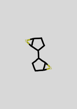 C1CC(C2CCC3SC32)C2SC12